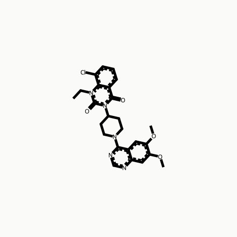 CCn1c(=O)n(C2CCN(c3ncnc4cc(OC)c(OC)cc34)CC2)c(=O)c2cccc(Cl)c21